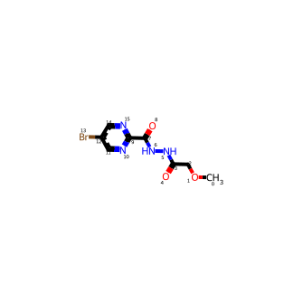 COCC(=O)NNC(=O)c1ncc(Br)cn1